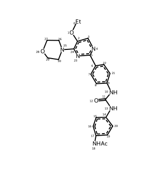 CCOc1cnc(-c2ccc(NC(=O)Nc3ccc(NC(C)=O)cc3)cc2)nc1N1CCOCC1